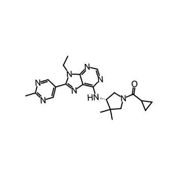 CCn1c(-c2cnc(C)nc2)nc2c(N[C@@H]3CN(C(=O)C4CC4)CC3(C)C)ncnc21